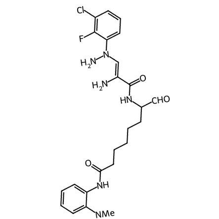 CNc1ccccc1NC(=O)CCCCCC(C=O)NC(=O)/C(N)=C/N(N)c1cccc(Cl)c1F